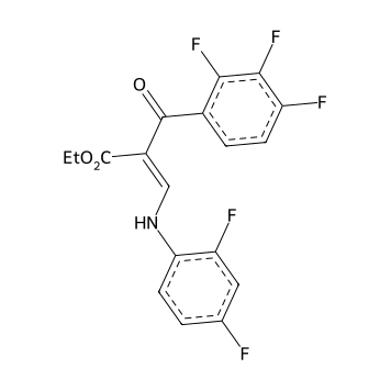 CCOC(=O)/C(=C\Nc1ccc(F)cc1F)C(=O)c1ccc(F)c(F)c1F